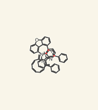 C=c1ccccccc(=C)n1-c1nc(-c2ccccc2)nc(-c2cccc3oc4cccc(-n5c6ccccc6c6c(-c7ccccc7)cccc65)c4c23)n1